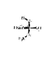 CCOP(=O)(O)ON.[NaH]